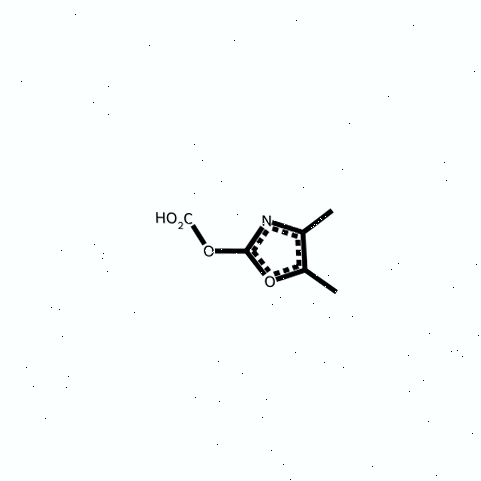 Cc1nc(OC(=O)O)oc1C